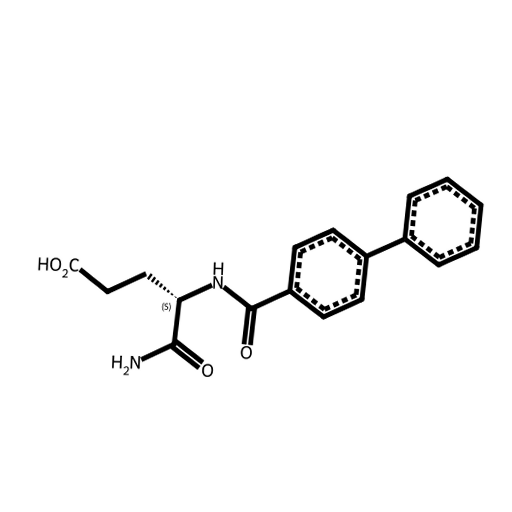 NC(=O)[C@H](CCC(=O)O)NC(=O)c1ccc(-c2ccccc2)cc1